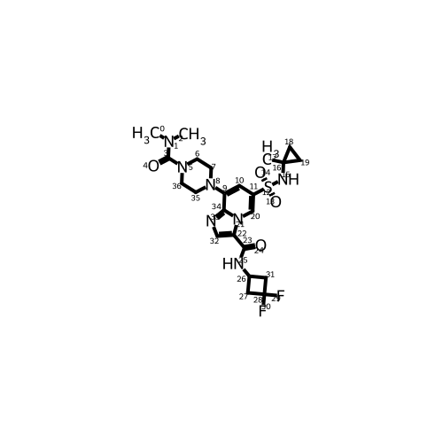 CN(C)C(=O)N1CCN(c2cc(S(=O)(=O)NC3(C)CC3)cn3c(C(=O)NC4CC(F)(F)C4)cnc23)CC1